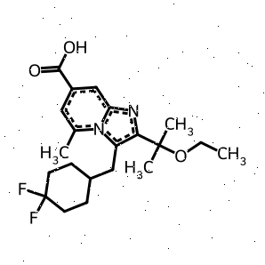 CCOC(C)(C)c1nc2cc(C(=O)O)cc(C)n2c1CC1CCC(F)(F)CC1